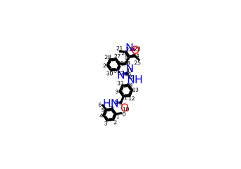 Cc1cccc(C)c1NC(=O)c1ccc(Nc2nc(-c3c(C)noc3C)c3ccccc3n2)cc1